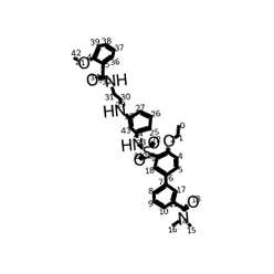 CCOc1ccc(-c2cccc(C(=O)N(C)C)c2)cc1S(=O)(=O)Nc1cccc(NCCNC(=O)c2ccccc2OC)c1